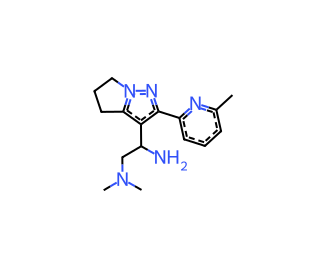 Cc1cccc(-c2nn3c(c2C(N)CN(C)C)CCC3)n1